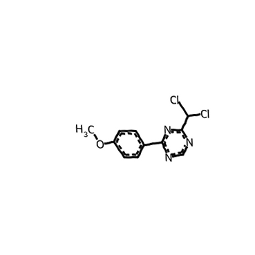 COc1ccc(-c2ncnc(C(Cl)Cl)n2)cc1